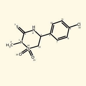 CN1C(=S)NC(c2ccc(Cl)cc2)CS1(=O)=O